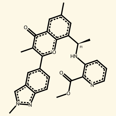 COC(=O)c1ncccc1N[C@H](C)c1cc(C)cc2c(=O)c(C)c(-c3ccc4nn(C)cc4c3)oc12